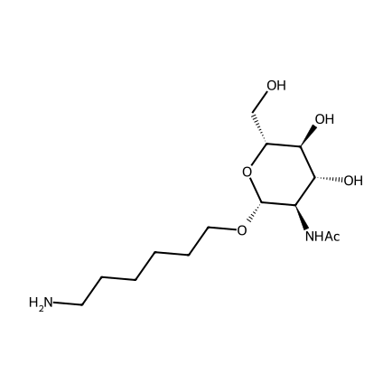 CC(=O)N[C@H]1[C@H](OCCCCCCN)O[C@H](CO)[C@@H](O)[C@@H]1O